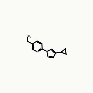 NCc1ccc(-n2cc(C3CC3)cn2)nc1